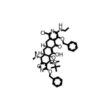 CCNc1nc(Cl)c2c(c1OCc1ccccc1)C(=O)C1=C(O)[C@]3(O[Si](C)(C)C(C)(C)C)C(=O)c4c(OCc5ccccc5)noc4[C@@H](N(C)C)[C@@H]3C[C@@H]1C2